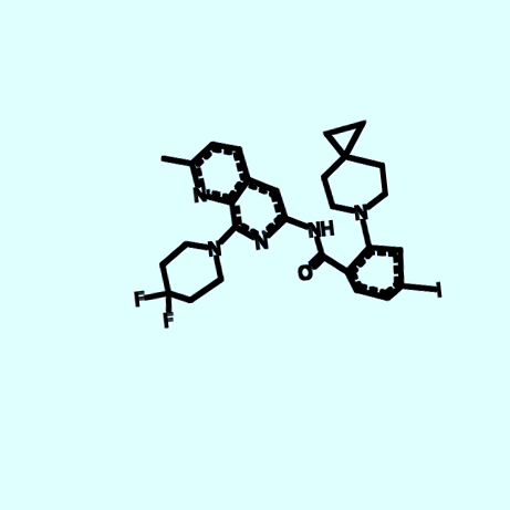 Cc1ccc2cc(NC(=O)c3ccc(I)cc3N3CCC4(CC3)CC4)nc(N3CCC(F)(F)CC3)c2n1